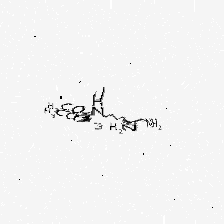 CC(C)(C)OC(=O)NCCCC[C@H](N)CN